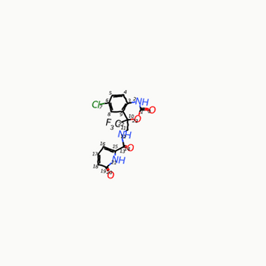 O=C1Nc2ccc(Cl)cc2C(CNC(=O)c2cccc(=O)[nH]2)(C(F)(F)F)O1